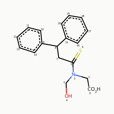 O=C(O)CN(CO)C(=S)CC(c1ccccc1)c1ccccc1